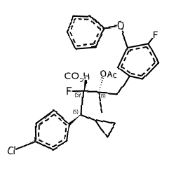 CC(=O)O[C@@](C)(Cc1ccc(F)c(Oc2ccccc2)c1)[C@](F)(C(=O)O)[C@H](c1ccc(Cl)cc1)C1CC1